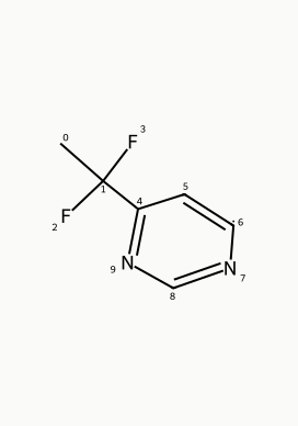 CC(F)(F)c1c[c]ncn1